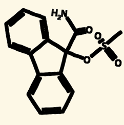 CS(=O)(=O)OC1(C(N)=O)c2ccccc2-c2ccccc21